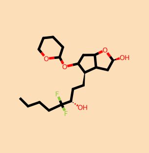 CCCCC(F)(F)[C@@H](O)CC[C@H]1C(OC2CCCCO2)CC2O[C@@H](O)CC21